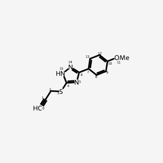 C#CCSc1nc(-c2ccc(OC)cc2)n[nH]1